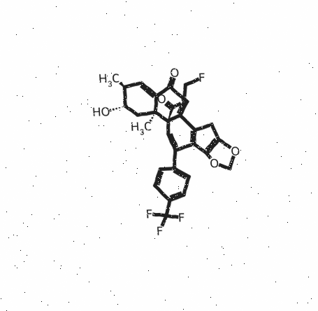 C[C@H]1C=C2C(=O)C=C3C4=C(C(c5ccc(C(F)(F)F)cc5)=C[C@]3(C(=O)SCF)[C@@]2(C)C[C@@H]1O)C1=C(C4)OCO1